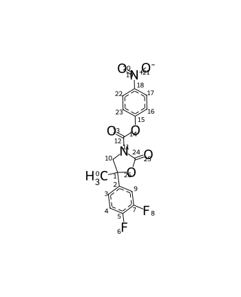 CC1(c2ccc(F)c(F)c2)CN(C(=O)Oc2ccc([N+](=O)[O-])cc2)C(=O)O1